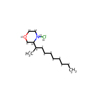 CCCCCCCCC(C)C1COCCN1Cl